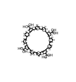 OC(O)c1cc2cc(c1)C1C=CC=C(C1)C1=CC=CC(C1)C1C=C(CC(C(O)O)C1)C1C=CC=C(C1)C1=CC=CC(C1)C1=CC(CC(C(O)O)C1)C1C=CC=C(C1)C1=CC=CC(C1)C1=CC(CC(C(O)O)C1)C1C=CC=C(C1)C1C=CC=C2C1